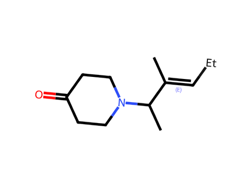 CC/C=C(\C)C(C)N1CCC(=O)CC1